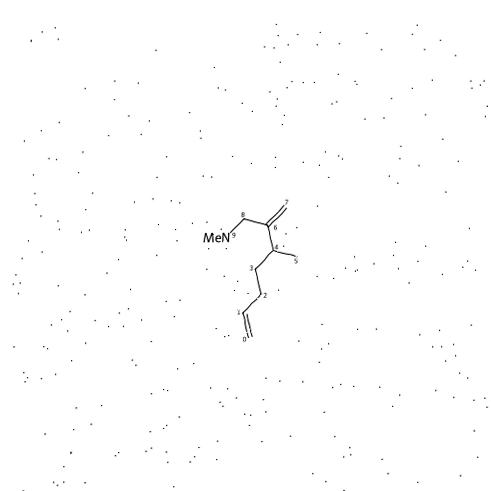 C=CCCC(C)C(=C)CNC